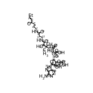 CCC=CC(=O)SCCNC(=O)CCNC(=O)[C@H](O)C(C)(C)COP(=O)(O)OP(=O)(O)OC[C@H]1O[C@@H](n2cnc3c(N)ncnc32)[C@H](O)[C@@H]1OP(=O)(O)O